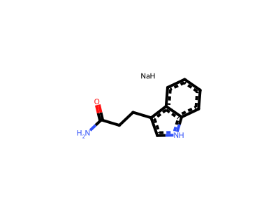 NC(=O)CCc1c[nH]c2ccccc12.[NaH]